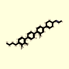 C/C=C/C1CC=C(c2ccc(-c3ccc(-c4ccc(CCCC)c(F)c4F)cc3)c(F)c2)CC1